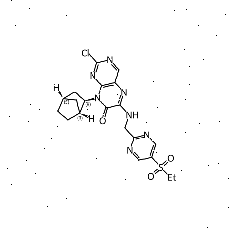 CCS(=O)(=O)c1cnc(CNc2nc3cnc(Cl)nc3n([C@@H]3C[C@H]4CC[C@@H]3C4)c2=O)nc1